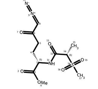 COC(=O)[C@H](CCC(=O)C=[N+]=[N-])NC(=O)[C@H](C)S(C)(=O)=O